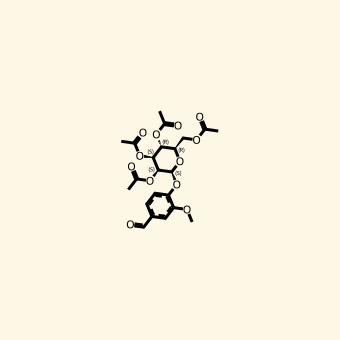 COc1cc(C=O)ccc1O[C@@H]1O[C@H](COC(C)=O)[C@@H](OC(C)=O)[C@H](OC(C)=O)[C@@H]1OC(C)=O